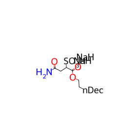 CCCCCCCCCCCCOC(=O)C(CC(N)=O)S(=O)(=O)O.[NaH].[NaH]